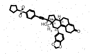 C[C@]12C[C@H](c3ccc4c(c3)OCO4)C3=C4CCC(=O)C=C4CC[C@H]3[C@@H]1CC[C@@]2(O)C#Cc1ccc(S(=O)(=O)C2CCCC2)cc1